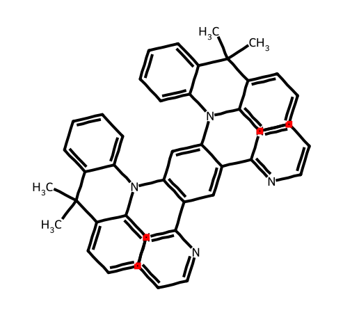 CC1(C)c2ccccc2N(c2cc(N3c4ccccc4C(C)(C)c4ccccc43)c(-c3ncccn3)cc2-c2ncccn2)c2ccccc21